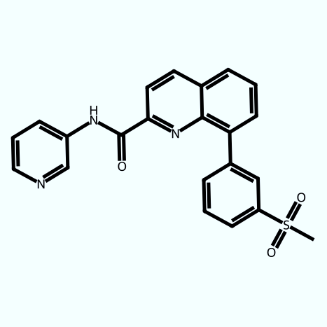 CS(=O)(=O)c1cccc(-c2cccc3ccc(C(=O)Nc4cccnc4)nc23)c1